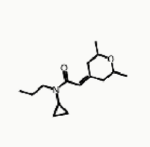 CCCN(C(=O)C=C1CC(C)OC(C)C1)C1CC1